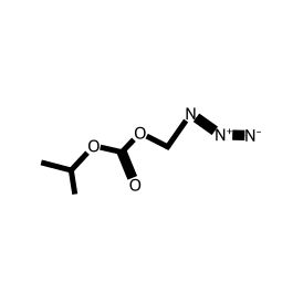 CC(C)OC(=O)OCN=[N+]=[N-]